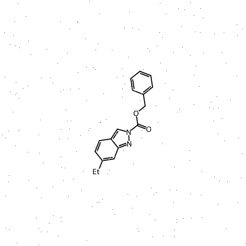 CCc1ccc2cn(C(=O)OCc3ccccc3)nc2c1